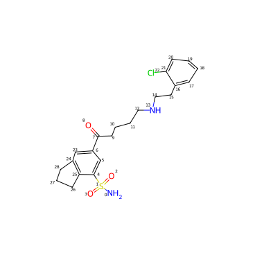 NS(=O)(=O)c1cc(C(=O)CCCCNCCc2ccccc2Cl)cc2c1CCC2